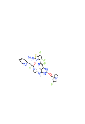 CN(c1nc(OC[C@@]23CCCN2CC(F)C3)nc2c(F)c(-c3c(F)cc(F)c4sc(N)nc34)ncc12)[C@@H]1CCN(C(=O)/C(F)=C/c2ccccn2)C1